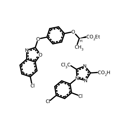 CCOC(=O)[C@@H](C)Oc1ccc(Oc2nc3ccc(Cl)cc3o2)cc1.O=C(O)c1nc(C(Cl)(Cl)Cl)n(-c2ccc(Cl)cc2Cl)n1